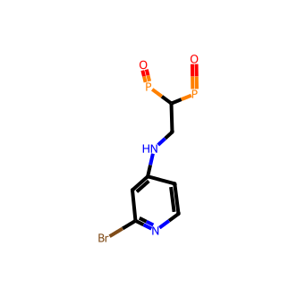 O=PC(CNc1ccnc(Br)c1)P=O